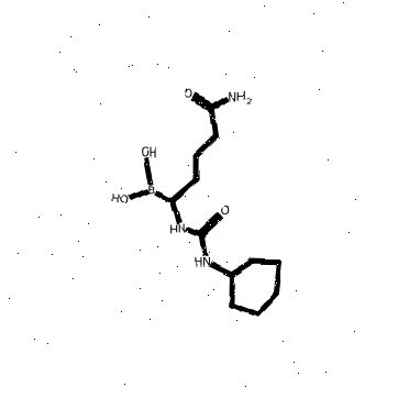 NC(=O)CCCC(NC(=O)NC1CCCCC1)B(O)O